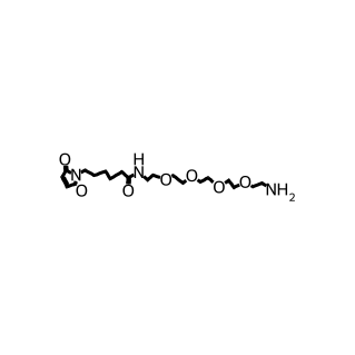 NCCOCCOCCOCCOCCNC(=O)CCCCCN1C(=O)C=CC1=O